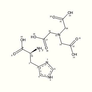 N[C@@H](Cc1c[nH]cn1)C(=O)O.O=C(O)CN(CC(=O)O)CC(=O)O